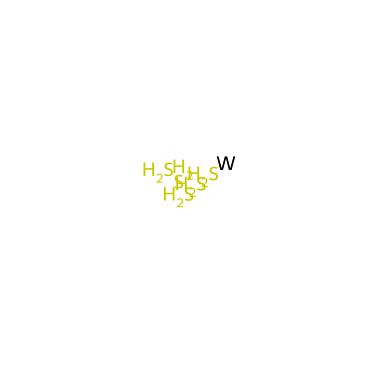 S.S.S.S.S.[W]